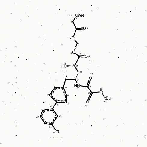 COCC(=O)OCOC(=O)[C@H](O)C[C@@H](Cc1ccc(-c2cccc(Cl)c2)cc1)NC(=O)C(=O)OC(C)(C)C